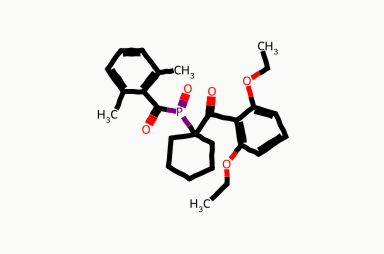 CCOc1cccc(OCC)c1C(=O)C1([P](=O)C(=O)c2c(C)cccc2C)CCCCC1